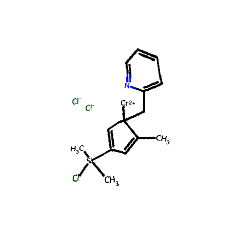 CC1=CC([Si](C)(C)Cl)=C[C]1([Cr+2])Cc1ccccn1.[Cl-].[Cl-]